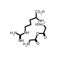 CCCCCCCCCCCC(=O)OC(=O)CN.N=C(N)NCCCC(N)C(=O)O